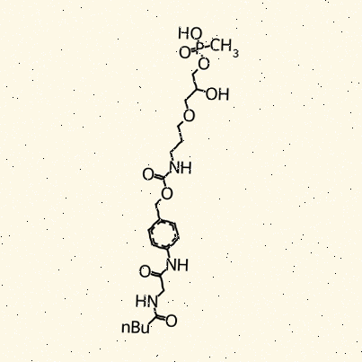 CCCCC(=O)NCC(=O)Nc1ccc(COC(=O)NCCCOCC(O)COP(C)(=O)O)cc1